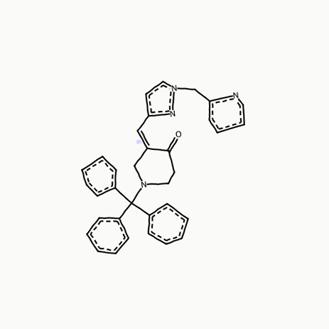 O=C1CCN(C(c2ccccc2)(c2ccccc2)c2ccccc2)C/C1=C/c1ccn(Cc2ccccn2)n1